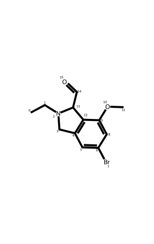 CCN1Cc2cc(Br)cc(OC)c2C1C=O